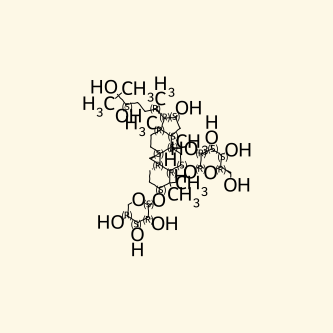 C[C@H](CC[C@H](O)C(C)(C)O)[C@H]1[C@@H](O)C[C@@]2(C)[C@@H]3C[C@H](O[C@@H]4O[C@H](CO)[C@@H](O)[C@H](O)[C@H]4O)[C@H]4C(C)(C)[C@@H](O[C@@H]5OC[C@@H](O)[C@H](O)[C@H]5O)CC[C@@]45C[C@@]35CC[C@]12C